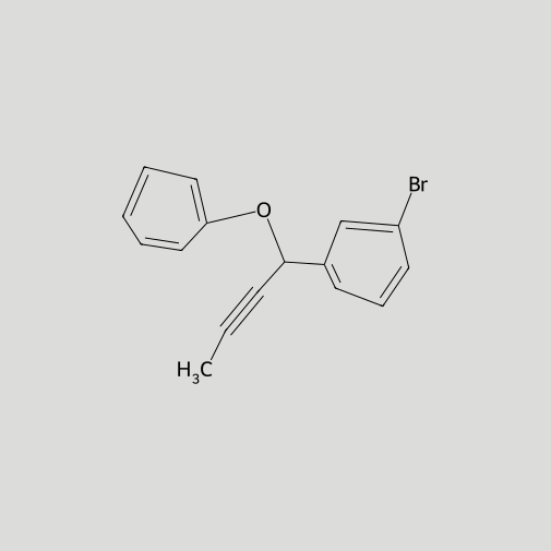 CC#CC(Oc1ccccc1)c1cccc(Br)c1